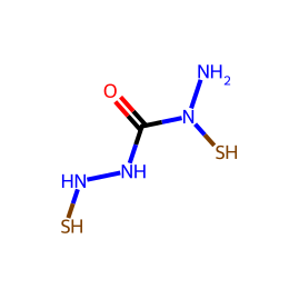 NN(S)C(=O)NNS